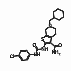 NC(=O)c1c(NC(=O)Nc2ccc(Cl)cc2)sc2c1CCN(CC1CCCCC1)C2